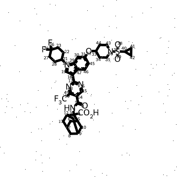 O=C(NC1(C(=O)O)C2CC3CC(C2)CC1C3)c1cnc(-c2cn(C3CCC(F)(F)CC3)c3cc(OC4CCN(S(=O)(=O)C5CC5)CC4)ccc23)nc1C(F)(F)F